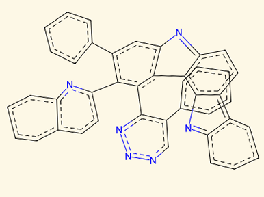 c1ccc(-c2cnnnc2-c2c3c(cc(-c4ccccc4)c2-c2ccc4ccccc4n2)N=c2ccc4c(c2-3)N=c2ccccc2=4)cc1